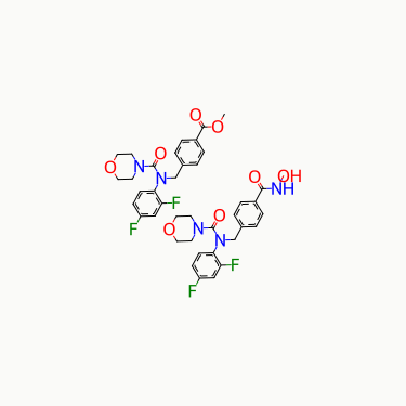 COC(=O)c1ccc(CN(C(=O)N2CCOCC2)c2ccc(F)cc2F)cc1.O=C(NO)c1ccc(CN(C(=O)N2CCOCC2)c2ccc(F)cc2F)cc1